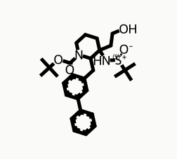 CC(C)(C)OC(=O)N1CCCC(CCO)(N[S@+]([O-])C(C)(C)C)C1Cc1cccc(-c2ccccc2)c1